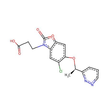 C[C@@H](Oc1cc2oc(=O)n(CCC(=O)O)c2cc1Cl)c1cccnn1